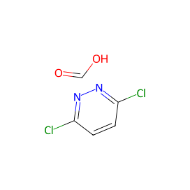 Clc1ccc(Cl)nn1.O=CO